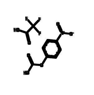 O=C(O)C(F)(F)F.O=C(O)Oc1ccc([N+](=O)[O-])cc1